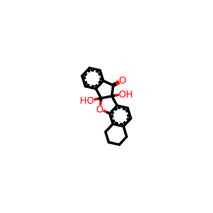 O=C1c2ccccc2C2(O)Oc3c(ccc4c3CCCC4)C12O